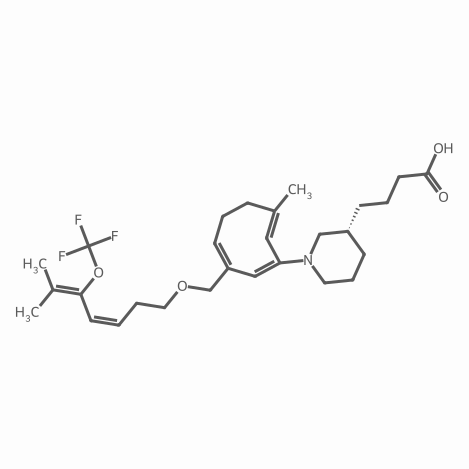 CC(C)=C(/C=C\CCOCC1=C/CC/C(C)=C/C(N2CCC[C@@H](CCCC(=O)O)C2)=C\1)OC(F)(F)F